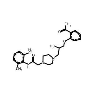 CC(=O)c1ccccc1OCC(O)CN1CCN(CC(=O)Nc2c(C)cccc2C)CC1